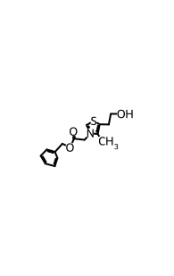 Cc1c(CCO)sc[n+]1CC(=O)OCc1ccccc1